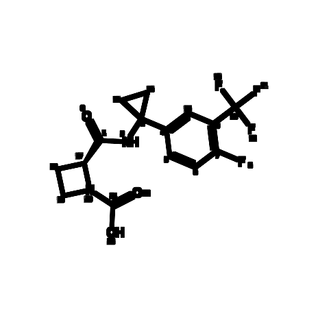 O=C(NC1(c2ccc(F)c(C(F)(F)F)c2)CC1)[C@@H]1CCN1C(=O)O